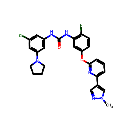 Cn1cc(-c2cccc(Oc3ccc(F)c(NC(=O)Nc4cc(Cl)cc(N5CCCC5)c4)c3)n2)cn1